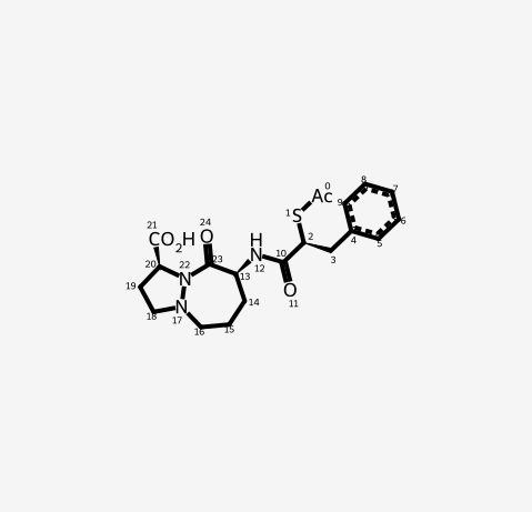 CC(=O)S[C@@H](Cc1ccccc1)C(=O)N[C@H]1CCCN2CC[C@@H](C(=O)O)N2C1=O